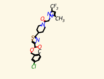 Cc1cc(C(F)(F)F)nn1CC(=O)N1CCC(c2nc(C3OCc4ccc(Cl)cc4CO3)cs2)CC1